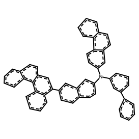 c1ccc(-c2cccc(N(c3ccc4ccc(-c5cc6ccc7ccccc7c6c6ccccc56)cc4c3)c3ccc4c(ccc5ccccc54)c3)c2)cc1